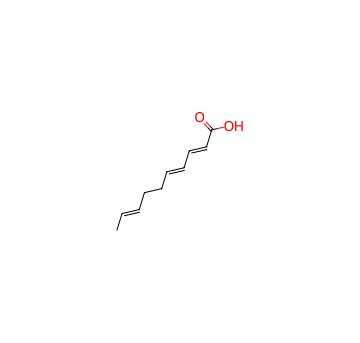 C/C=C/CC/C=C/C=C/C(=O)O